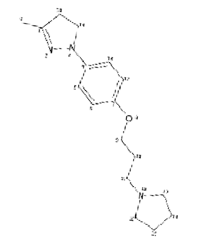 CC1=NN(c2ccc(OCCCN3CCCC3)cc2)CC1